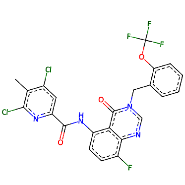 Cc1c(Cl)cc(C(=O)Nc2ccc(F)c3ncn(Cc4ccccc4OC(F)(F)F)c(=O)c23)nc1Cl